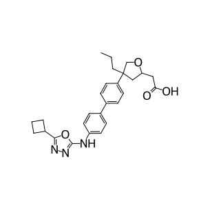 CCCC1(c2ccc(-c3ccc(Nc4nnc(C5CCC5)o4)cc3)cc2)COC(CC(=O)O)C1